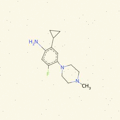 CN1CCN(c2cc(C3CC3)c(N)cc2F)CC1